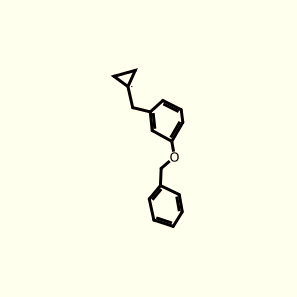 c1ccc(COc2cccc(C[C]3CC3)c2)cc1